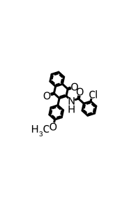 COc1ccc(C2=C(NC(=O)c3ccccc3Cl)C(=O)c3ccccc3C2=O)cc1